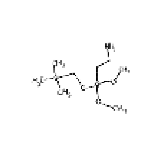 CO[Si](CCN)(OC)OC[Si](C)(C)C